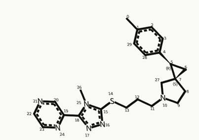 Cc1ccc([C@H]2C[C@]23CCN(CCCSc2nnc(-c4cnccn4)n2C)C3)cc1